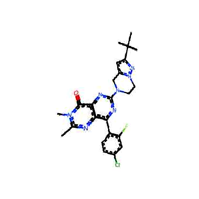 Cc1nc2c(-c3ccc(Cl)cc3F)nc(N3CCn4nc(C(C)(C)C)cc4C3)nc2c(=O)n1C